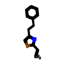 C=Cc1nc(CCc2ccccc2)cs1